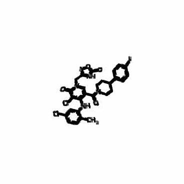 Cc1ccc(Cl)cc1Nc1c(C(=O)N2CCC(c3ccc(F)cc3)CC2)cn(Cc2noc(=O)[nH]2)c(=O)c1Cl